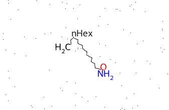 C=CCC(CCCCCC)CCCCCCCCCCC(N)=O